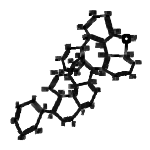 c1ccc(-c2ccc3ccc4c(-c5cccc6oc7cccc(-c8ccccc8)c7c56)ccc5ccc2c3c54)cc1